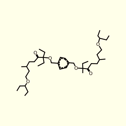 CCC(CC)OCCC(C)CCC(=O)C(C)(CC)OCc1ccc(COC(CC)(CC)C(=O)CCC(C)CCOC(CC)CC)cc1